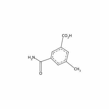 Cc1cc(C(N)=O)cc(C(=O)O)c1